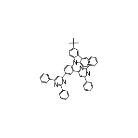 CC(C)(C)c1ccc2c(c1)c1ccccc1n2-c1ccc(-c2cc(-c3ccccc3)nc(-c3ccccc3)n2)cc1-c1cc(-c2ccccc2)nc(-c2ccccc2)n1